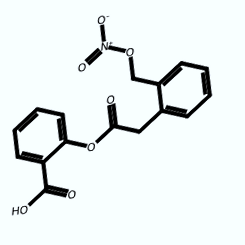 O=C(Cc1ccccc1CO[N+](=O)[O-])Oc1ccccc1C(=O)O